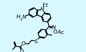 C=C(C)C(=O)OCCSc1ccc(/C(=N\OC(C)=O)c2ccc3c(c2)c2cc(N)ccc2n3CC)c(C)c1